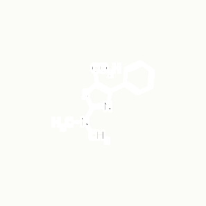 CN(C)c1nc(-c2ccccc2)c(C(=O)O)s1